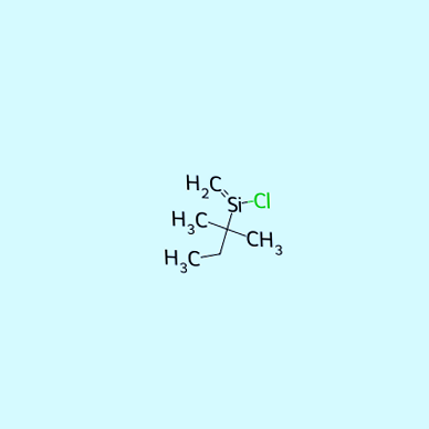 C=[Si](Cl)C(C)(C)CC